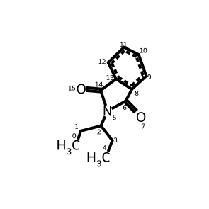 CCC(CC)N1C(=O)c2ccccc2C1=O